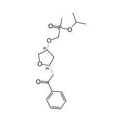 CC(C)OP(C)(=O)CO[C@H]1CO[C@@H](CC(=O)c2ccccc2)C1